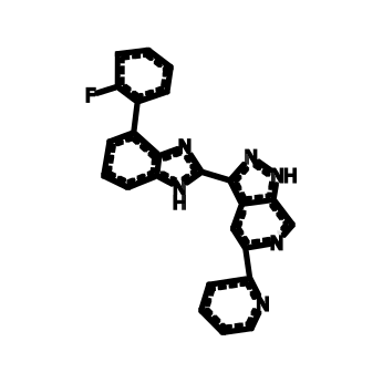 Fc1ccccc1-c1cccc2[nH]c(-c3n[nH]c4cnc(-c5ccccn5)cc34)nc12